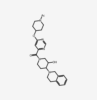 CC(=O)N1CCC(Oc2cc(C(=O)N3CCC(N4CCc5ccccc5C4)C(O)C3)ncn2)CC1